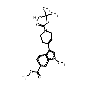 COC(=O)c1ccc2c(C3=CCN(C(=O)OC(C)(C)C)CC3)cn(C)c2c1